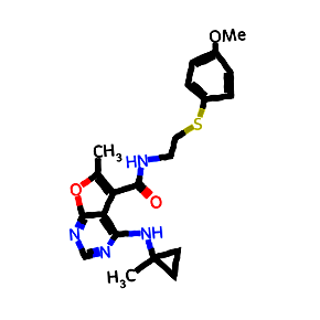 COc1ccc(SCCNC(=O)c2c(C)oc3ncnc(NC4(C)CC4)c23)cc1